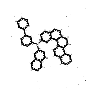 c1ccc(-c2cccc(N(c3ccc4ccccc4c3)c3ccc4ccc5ccc6c7ccccc7ccc6c5c4c3)c2)cc1